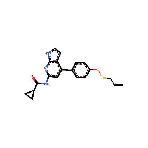 C=CCSOc1ccc(-c2cc(NC(=O)C3CC3)nc3[nH]ccc23)cc1